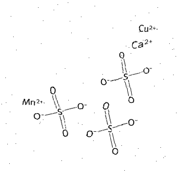 O=S(=O)([O-])[O-].O=S(=O)([O-])[O-].O=S(=O)([O-])[O-].[Ca+2].[Cu+2].[Mn+2]